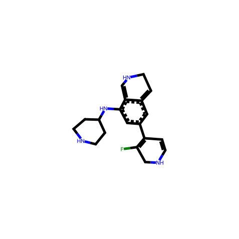 FC1=C(c2cc(NC3CCNCC3)c3c(c2)=CCNC=3)C=CNC1